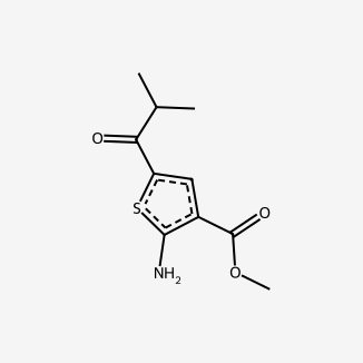 COC(=O)c1cc(C(=O)C(C)C)sc1N